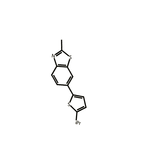 Cc1nc2ccc(-c3ccc(C(C)C)s3)cc2s1